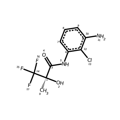 C[C@@](O)(C(=O)Nc1cccc(N)c1Cl)C(F)(F)F